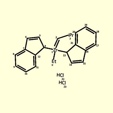 C[CH2][Zr](=[CH]C(C)C)([CH]1C=Cc2ccccc21)[CH]1C=Cc2ccccc21.Cl.Cl